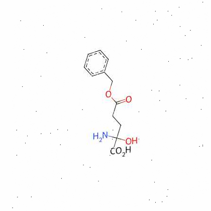 NC(O)(CCC(=O)OCc1ccccc1)C(=O)O